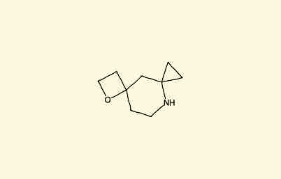 C1CC2(CCO2)CC2(CC2)N1